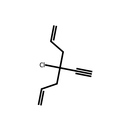 C#CC(Cl)(CC=C)CC=C